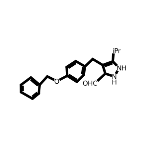 CC(C)C1=C(Cc2ccc(OCc3ccccc3)cc2)C(C=O)NN1